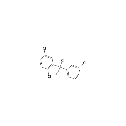 Clc1cccc(C(Cl)(Cl)c2cc(Cl)ccc2Cl)c1